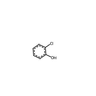 Oc1[c]cc[c]c1Cl